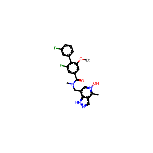 CCOc1cc(C(=O)N(C)Cc2c[n+](O)c(C)c3cn[nH]c23)cc(F)c1-c1cccc(F)c1